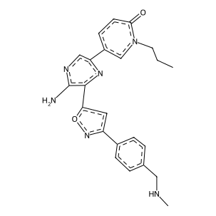 CCCn1cc(-c2cnc(N)c(-c3cc(-c4ccc(CNC)cc4)no3)n2)ccc1=O